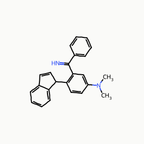 CN(C)c1ccc(C2C=Cc3ccccc32)c(C(=N)c2ccccc2)c1